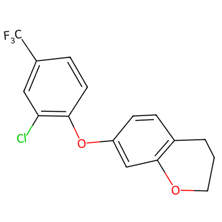 FC(F)(F)c1ccc(Oc2ccc3c(c2)OCCC3)c(Cl)c1